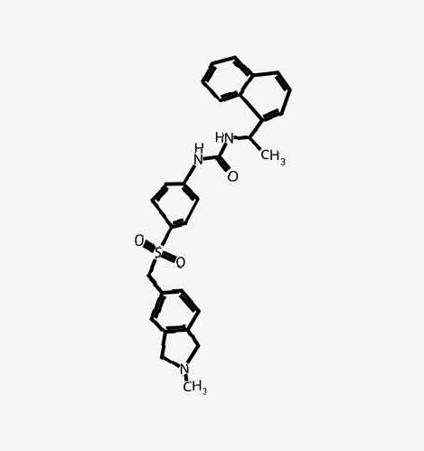 CC(NC(=O)Nc1ccc(S(=O)(=O)Cc2ccc3c(c2)CN(C)C3)cc1)c1cccc2ccccc12